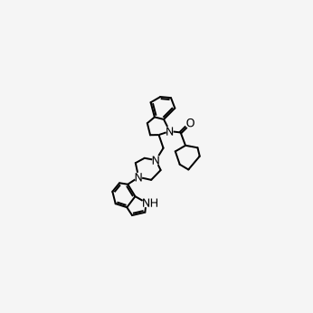 O=C(C1CCCCC1)N1c2ccccc2CCC1CN1CCN(c2cccc3cc[nH]c23)CC1